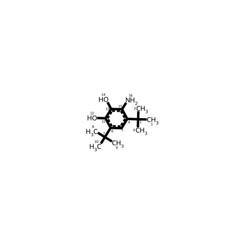 CC(C)(C)c1cc(C(C)(C)C)c(O)c(O)c1N